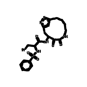 CC(C)CC(NS(=O)(=O)c1ccccc1)C(=O)NC1Cc2cc(sn2)CCCCNC(=O)C1=O